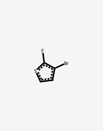 Fc1sc[c]c1Br